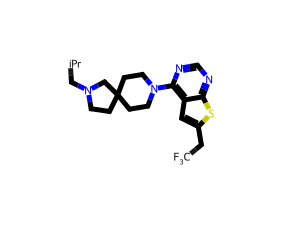 CC(C)CN1CCC2(CCN(c3ncnc4sc(CC(F)(F)F)cc34)CC2)C1